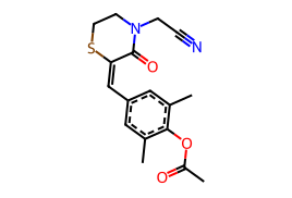 CC(=O)Oc1c(C)cc(/C=C2/SCCN(CC#N)C2=O)cc1C